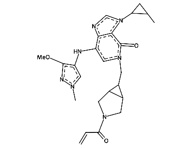 C=CC(=O)N1CC2C(C1)C2Cn1cc(Nc2cn(C)nc2OC)c2ncn(C3CC3C)c2c1=O